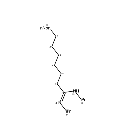 CCCCCCCCCCCCCCCC(=NC(C)C)NC(C)C